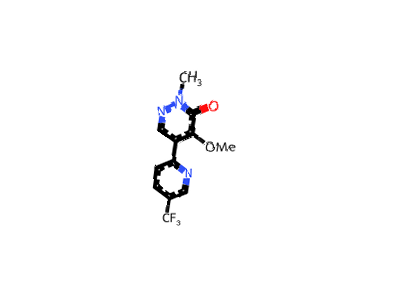 COc1c(-c2ccc(C(F)(F)F)cn2)cnn(C)c1=O